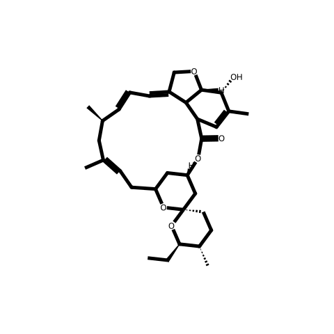 CC[C@H]1O[C@]2(CC[C@@H]1C)C[C@@H]1CC(C/C=C(\C)C[C@@H](C)/C=C/C=C3\CO[C@H]4C3C(C=C(C)[C@H]4O)C(=O)O1)O2